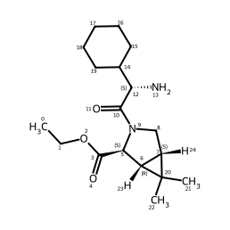 CCOC(=O)[C@@H]1[C@@H]2[C@H](CN1C(=O)[C@@H](N)C1CCCCC1)C2(C)C